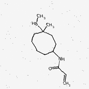 C=CC(=O)NC1CCCCC(C)(BC)CC1